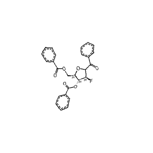 O=C(OC[C@H]1O[C](C(=O)c2ccccc2)[C@@H](F)[C@@H]1OC(=O)c1ccccc1)c1ccccc1